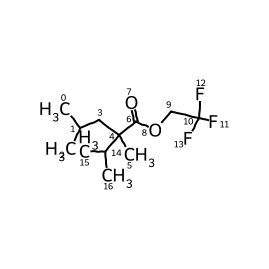 CC(C)CC(C)(C(=O)OCC(F)(F)F)C(C)C